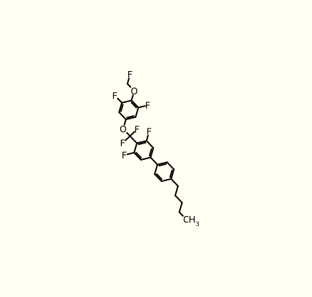 CCCCCc1ccc(-c2cc(F)c(C(F)(F)Oc3cc(F)c(OCF)c(F)c3)c(F)c2)cc1